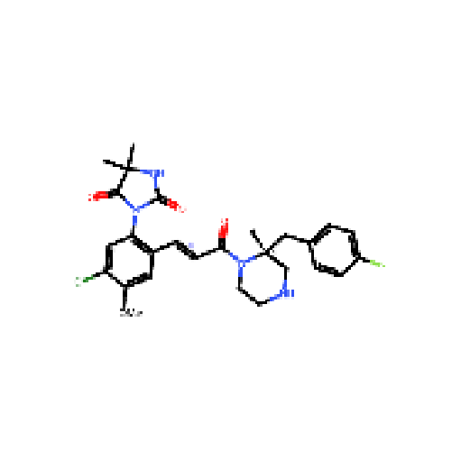 COc1cc(/C=C/C(=O)N2CCNC[C@@]2(C)Cc2ccc(F)cc2)c(N2C(=O)NC(C)(C)C2=O)cc1Cl